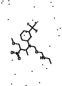 CCNCOCN(C1CCCC(C(F)(F)F)C1)C(C)C(COC)[N+](=O)[O-]